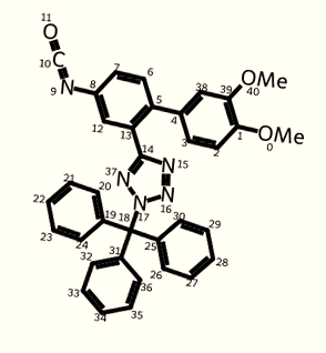 COc1ccc(-c2ccc(N=C=O)cc2-c2nnn(C(c3ccccc3)(c3ccccc3)c3ccccc3)n2)cc1OC